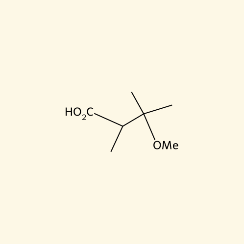 COC(C)(C)C(C)C(=O)O